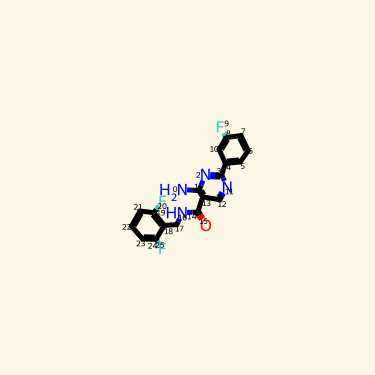 Nc1nc(-c2cccc(F)c2)ncc1C(=O)NCc1c(F)cccc1F